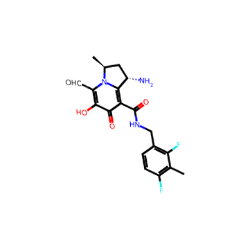 Cc1c(F)ccc(CNC(=O)c2c3n(c(C=O)c(O)c2=O)[C@@H](C)C[C@@H]3N)c1F